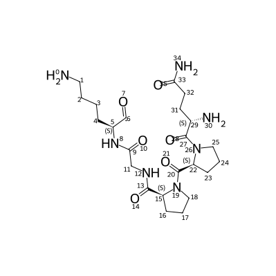 NCCCC[C@@H]([C]=O)NC(=O)CNC(=O)[C@@H]1CCCN1C(=O)[C@@H]1CCCN1C(=O)[C@@H](N)CCC(N)=O